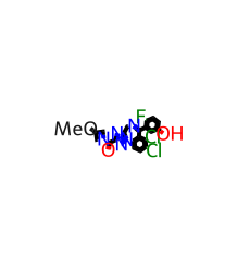 COC1CN(C(=O)c2nc3n(n2)-c2ccc(Cl)c(Cl)c2C(c2cc(O)ccc2F)=NC3)C1